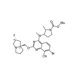 CC1C(N(C)c2nc(OC[C@@]34CCCN3C[C@H](F)C4)nc3c(C#N)c(Br)ccc23)CCN1C(=O)OC(C)(C)C